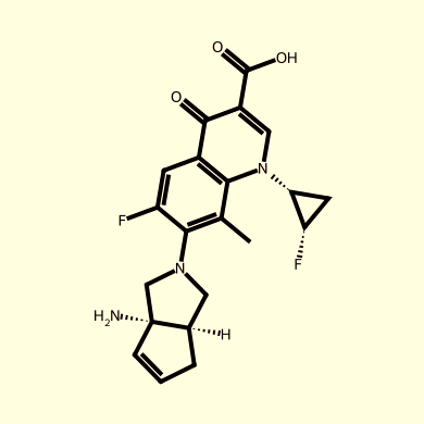 Cc1c(N2C[C@H]3CC=C[C@@]3(N)C2)c(F)cc2c(=O)c(C(=O)O)cn([C@@H]3C[C@@H]3F)c12